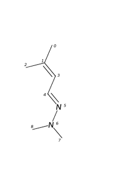 CC(C)=CC=NN(C)C